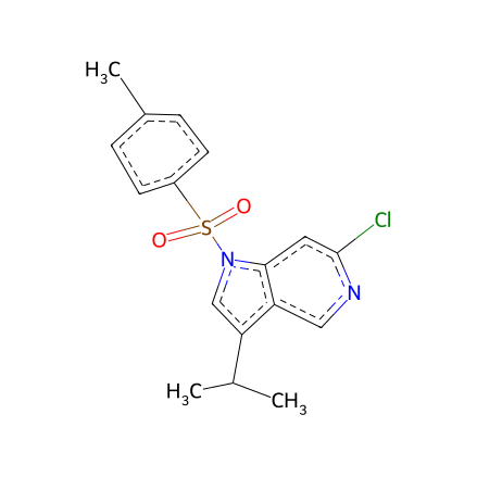 Cc1ccc(S(=O)(=O)n2cc(C(C)C)c3cnc(Cl)cc32)cc1